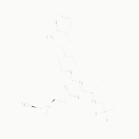 N#C[C@@H]1C[C@@H]1COc1nc(C(=O)NCC(F)(F)F)nc(N2CCC(COc3cccnc3N)CC2)n1